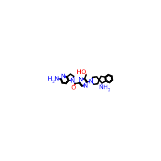 Nc1ccc2c(n1)CCN2C(=O)c1cnc(N2CCC3(CC2)Cc2ccccc2[C@H]3N)c(CO)n1